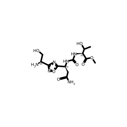 COC(=O)[C@@H](NC(=O)N[C@@H](CC(N)=O)c1nc([C@@H](N)CO)no1)C(C)O